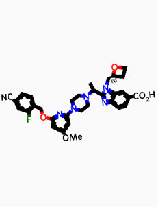 COc1cc(OCc2ccc(C#N)cc2F)nc(N2CCN(C(C)c3nc4ccc(C(=O)O)cc4n3C[C@@H]3CCO3)CC2)c1